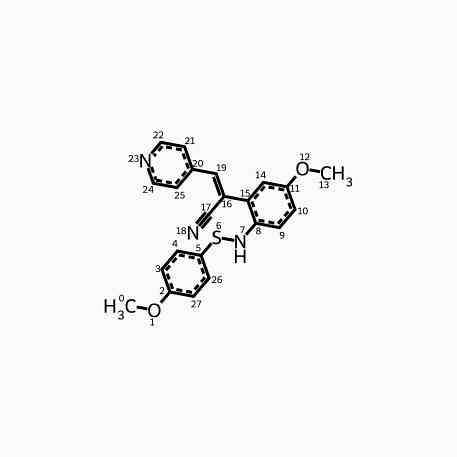 COc1ccc(SNc2ccc(OC)cc2C(C#N)=Cc2ccncc2)cc1